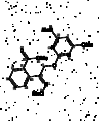 CON=C(COc1nc(OC)cc(OC)n1)c1ccccc1C(=O)OC